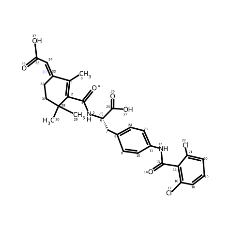 CC1=C(C(=O)N[C@@H](Cc2ccc(NC(=O)c3c(Cl)cccc3Cl)cc2)C(=O)O)C(C)(C)CC/C1=C\C(=O)O